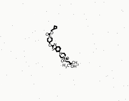 CC(C)(O)CCS(=O)(=O)N1CCN(c2ccc3nc(OC4CCN(C(=O)OCC5CCC5)CC4)sc3c2)CC1